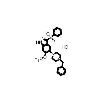 COc1cc2[nH]nc(S(=O)(=O)c3ccccc3)c2cc1N1CCN(Cc2ccccc2)CC1.Cl